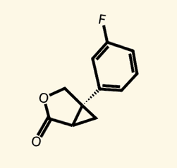 O=C1OC[C@@]2(c3cccc(F)c3)CC12